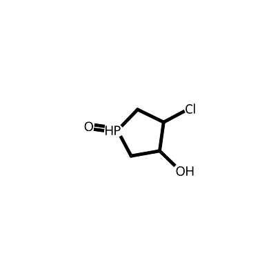 O=[PH]1CC(O)C(Cl)C1